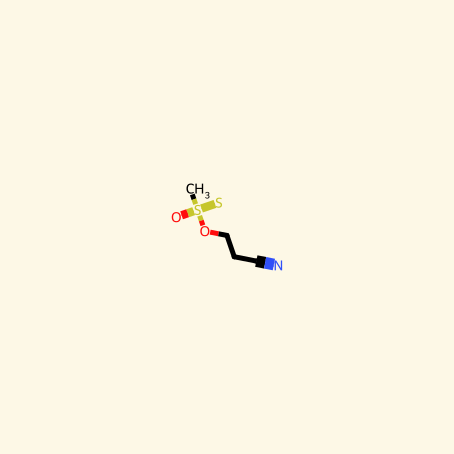 CS(=O)(=S)OCCC#N